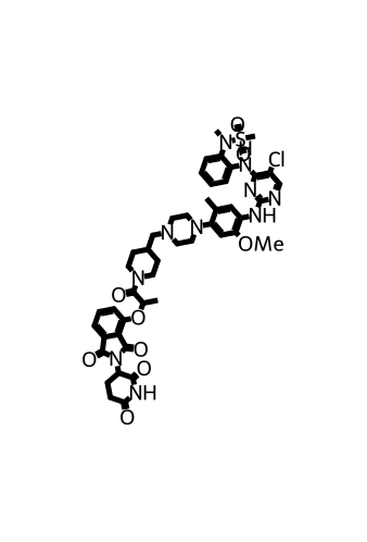 COc1cc(N2CCN(CC3CCN(C(=O)C(C)Oc4cccc5c4C(=O)N(C4CCC(=O)NC4=O)C5=O)CC3)CC2)c(C)cc1Nc1ncc(Cl)c(Nc2ccccc2N(C)S(C)(=O)=O)n1